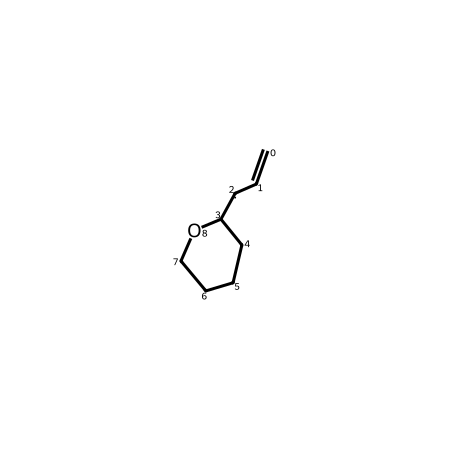 C=C[CH]C1CCCCO1